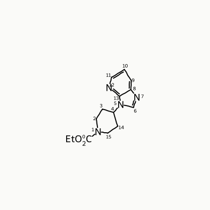 CCOC(=O)N1CCC(n2cnc3cccnc32)CC1